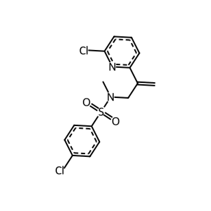 C=C(CN(C)S(=O)(=O)c1ccc(Cl)cc1)c1cccc(Cl)n1